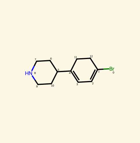 BrC1=CC=C(C2CCNCC2)CC1